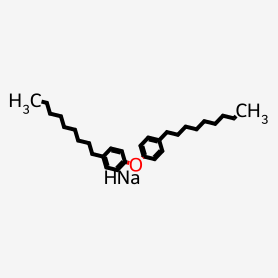 CCCCCCCCCc1ccc(Oc2ccc(CCCCCCCCC)cc2)cc1.[NaH]